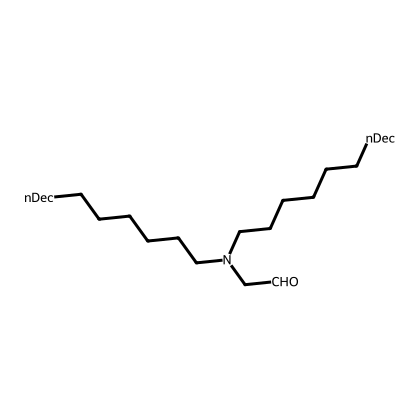 CCCCCCCCCCCCCCCCN(CC=O)CCCCCCCCCCCCCCCC